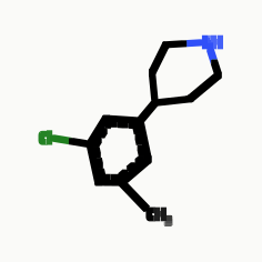 Cc1cc(Cl)cc(C2CCNCC2)c1